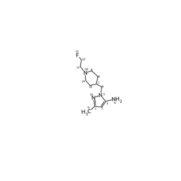 Cc1cc(N)n(CC2CCN(CCF)CC2)n1